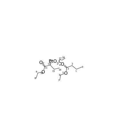 CCCC(=O)OCC.CCOC(=O)C(C)CC.CCOC(C)=O